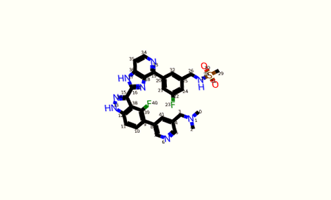 CN(C)Cc1cncc(-c2ccc3[nH]nc(-c4nc5c(-c6cc(F)cc(CNS(C)(=O)=O)c6)nccc5[nH]4)c3c2F)c1